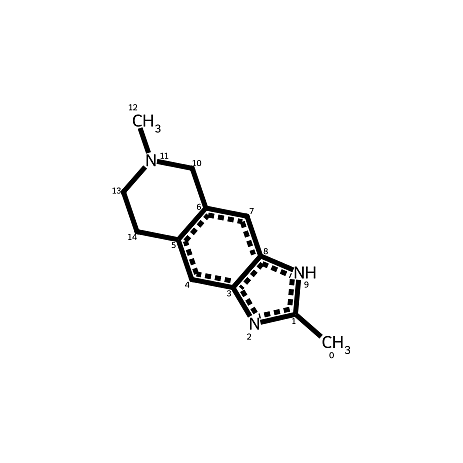 Cc1nc2cc3c(cc2[nH]1)CN(C)CC3